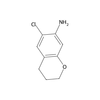 Nc1cc2c(cc1Cl)CCCO2